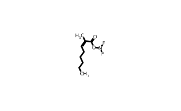 CCCCCC=C(C)C(=O)ON(F)F